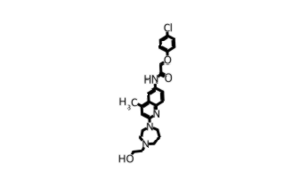 Cc1cc(N2CCCN(CCO)CC2)nc2ccc(NC(=O)COc3ccc(Cl)cc3)cc12